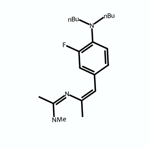 CCCCN(CCCC)c1ccc(/C=C(C)\N=C(\C)NC)cc1F